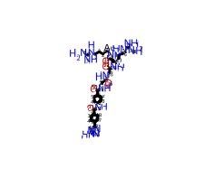 CC(=O)[C@@H](CCCNC(=N)N)NC(=O)[C@H](CCCNC(=N)N)NC(=O)CNC(=O)CNC(=O)c1ccc(NC(=O)c2ccc(-c3nn[nH]n3)cc2)cc1